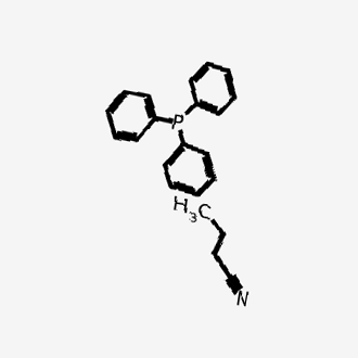 CCCC#N.c1ccc(P(c2ccccc2)c2ccccc2)cc1